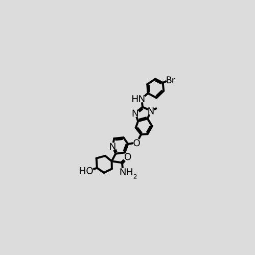 Cn1c(Nc2ccc(Br)cc2)nc2cc(Oc3ccnc(C4(C(N)=O)CCC(O)CC4)c3)ccc21